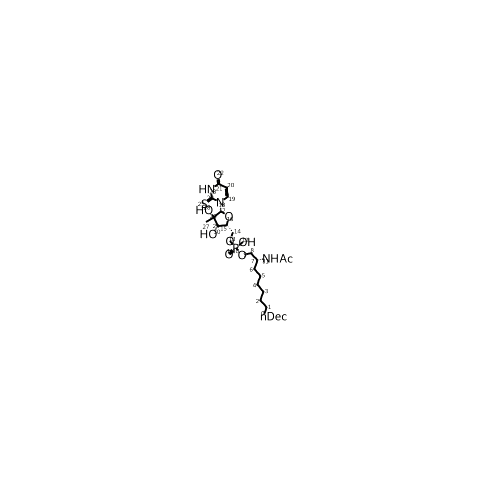 CCCCCCCCCCCCCCCC[C@H](COP(=O)(O)OC[C@H]1O[C@@H](n2ccc(=O)[nH]c2=S)C(C)(O)[C@H]1O)NC(C)=O